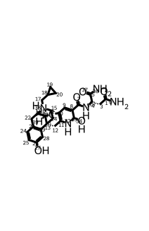 NC(=O)C[C@H](NC(=O)C1=CC2=C(C[C@]34CCN(CC5CC5)[C@H](Cc5ccc(O)cc53)[C@@H]4C2)NC1O)C(N)=O